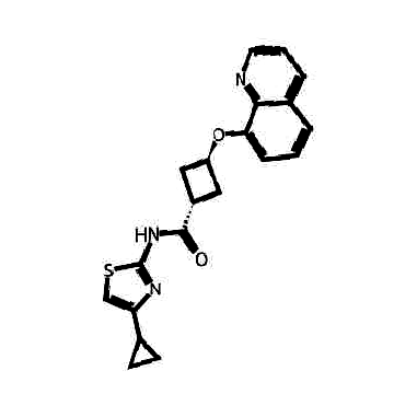 O=C(Nc1nc(C2CC2)cs1)[C@H]1C[C@H](Oc2cccc3cccnc23)C1